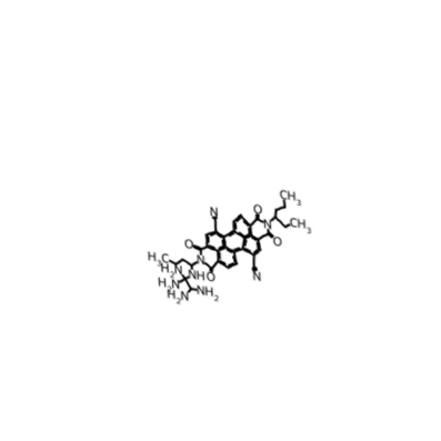 CCCC(CC)N1C(=O)c2ccc3c4c(C#N)cc5c6c(ccc(c7c(C#N)cc(c2c37)C1=O)c64)C(=O)N(C(CCC)NC(N)(N)C(N)N)C5=O